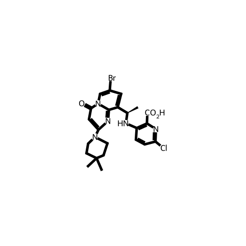 C[C@@H](Nc1ccc(Cl)nc1C(=O)O)c1cc(Br)cn2c(=O)cc(N3CCC(C)(C)CC3)nc12